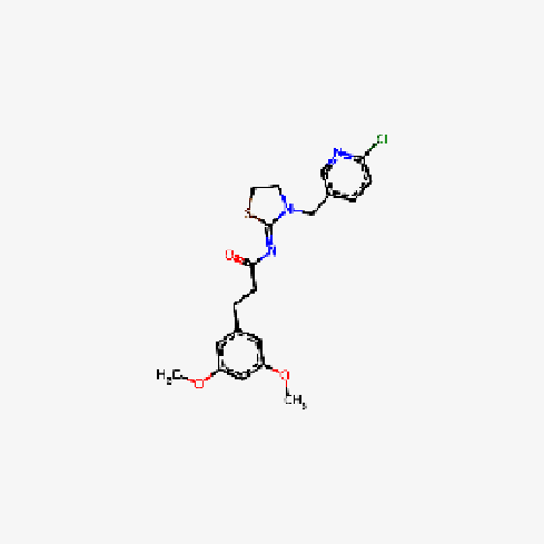 COc1cc(CCC(=O)/N=C2\SCCN2Cc2ccc(Cl)nc2)cc(OC)c1